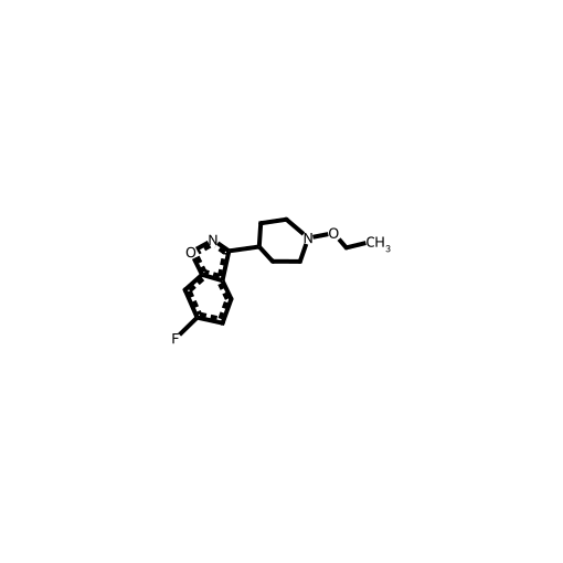 CCON1CCC(c2noc3cc(F)ccc23)CC1